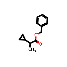 CC(C(=O)OCc1ccccc1)C1CC1